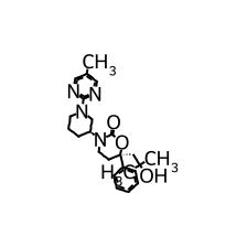 Cc1cnc(N2CCC[C@H](N3CC[C@](CC(C)(C)O)(c4ccccc4)OC3=O)C2)nc1